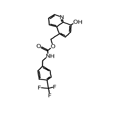 O=C(NCc1ccc(C(F)(F)F)cc1)OCc1ccc(O)c2ncccc12